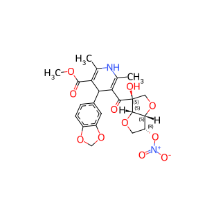 COC(=O)C1=C(C)NC(C)=C(C(=O)[C@]2(O)CO[C@@H]3[C@H](O[N+](=O)[O-])CO[C@@H]32)C1c1ccc2c(c1)OCO2